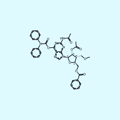 COC[C@H]1[C@@H](OC(C)=O)[C@H](n2cnc3c(OC(=O)N(c4ccccc4)c4ccccc4)nc(NC(C)=O)nc32)O[C@@H]1COC(=O)c1ccccc1